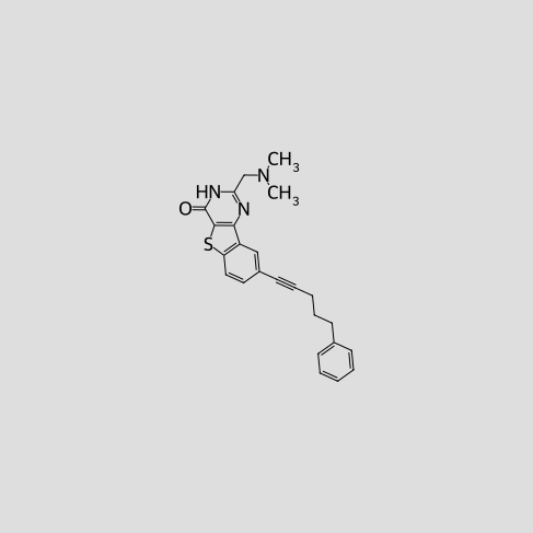 CN(C)Cc1nc2c(sc3ccc(C#CCCCc4ccccc4)cc32)c(=O)[nH]1